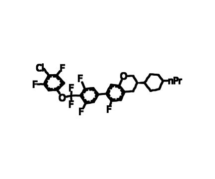 CCCC1CCC([C@@H]2COc3cc(-c4cc(F)c(C(F)(F)Oc5cc(F)c(Cl)c(F)c5)c(F)c4)c(F)cc3C2)CC1